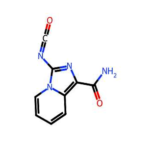 NC(=O)c1nc(N=C=O)n2ccccc12